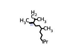 C=C(C)/C(=C\C)CCC(C)CCCC(C)C